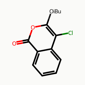 CC(C)COc1oc(=O)c2ccccc2c1Cl